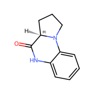 O=C1Nc2ccccc2N2CCC[C@H]12